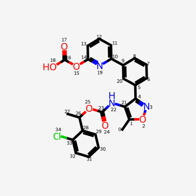 Cc1onc(-c2cccc(-c3cccc(OC(=O)O)n3)c2)c1NC(=O)OC(C)c1ccccc1Cl